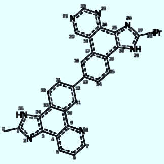 Cc1nc2c3cccnc3c3cc(-c4ccc5c(c4)c4cncnc4c4nc(C(C)C)[nH]c54)ccc3c2[nH]1